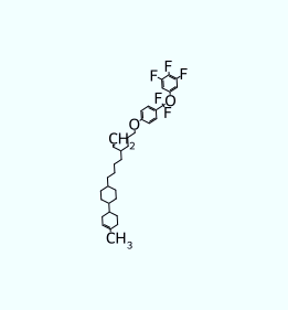 C=CC(CCCCC1CCC(C2CC=C(C)CC2)CC1)CCCOc1ccc(C(F)(F)Oc2cc(F)c(F)c(F)c2)cc1